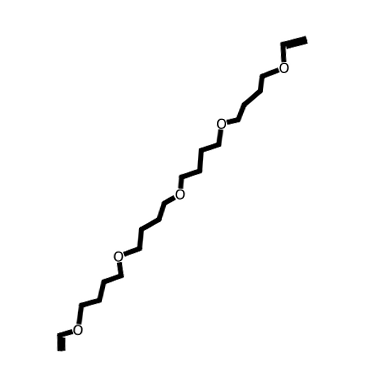 C=COCCCCOCCCCOCCCCOCCCCOC=C